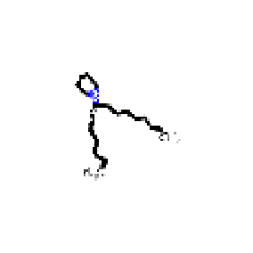 CCCCCCCCC(CCCCCCC)N1CCCCC1